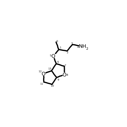 CC(CCN)OC1COC2CCOC21